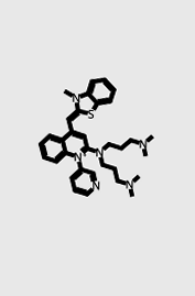 CN(C)CCCN(CCCN(C)C)c1cc(/C=C2\Sc3ccccc3N2C)c2ccccc2[n+]1-c1cccnc1